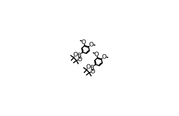 COc1ccc(B2OC(C)(C)C(C)(C)O2)cc1OC.COc1ccc(B2OC(C)(C)C(C)(C)O2)cc1OC